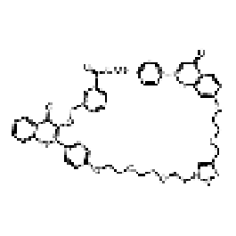 COC(=O)c1cccc(COc2c(-c3ccc(OCCOCCOCCn4cc(COCCOc5ccc6c(=O)cc(-c7ccccc7)oc6c5)nn4)cc3)oc3ccccc3c2=O)c1